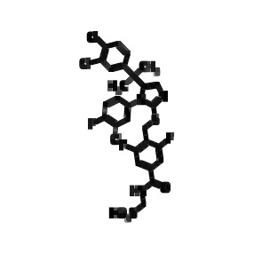 CC(C)(c1ccc(Cl)c(Cl)c1)c1cnc(SCc2c(F)cc(C(=O)NCS(=O)(=O)O)cc2F)n1-c1ccc(F)c(Cl)c1